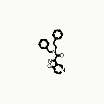 O=C(c1noc2ccncc12)N(CCc1ccccc1)Cc1ccccc1